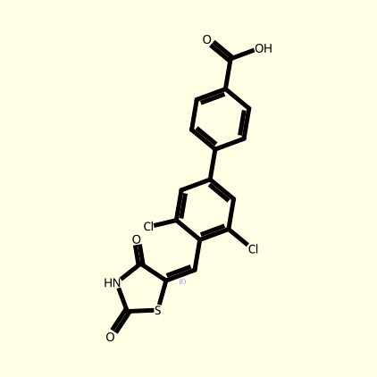 O=C1NC(=O)/C(=C\c2c(Cl)cc(-c3ccc(C(=O)O)cc3)cc2Cl)S1